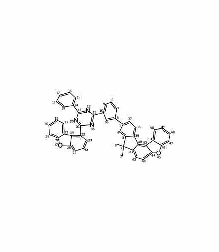 CC1(C)c2cc(-c3cccc(-c4nc(-c5ccccc5)nc(-c5cccc6oc7ccccc7c56)n4)c3)ccc2-c2c1ccc1oc3ccccc3c21